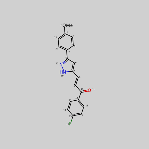 COc1ccc(-c2cc(C=CC(=O)c3ccc(F)cc3)[nH]n2)cc1